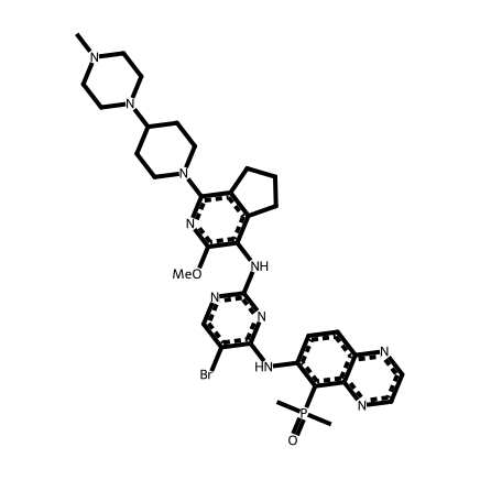 COc1nc(N2CCC(N3CCN(C)CC3)CC2)c2c(c1Nc1ncc(Br)c(Nc3ccc4nccnc4c3P(C)(C)=O)n1)CCC2